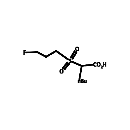 CCCCC(C(=O)O)S(=O)(=O)CCCF